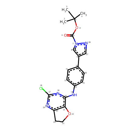 CC(C)(C)OC(=O)n1cc(-c2ccc(Nc3nc(Cl)nc4c3OCC4)cc2)cn1